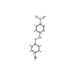 FC(F)c1ccc(OCc2ccc(Br)cc2)cc1